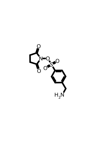 NCc1ccc(S(=O)(=O)ON2C(=O)CCC2=O)cc1